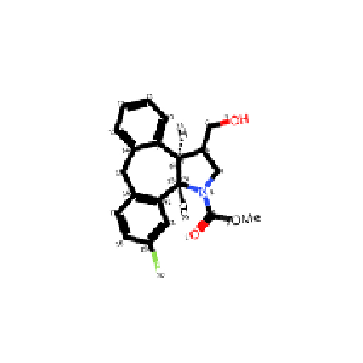 COC(=O)N1CC(CO)[C@@H]2c3ccccc3Cc3ccc(F)cc3[C@H]21